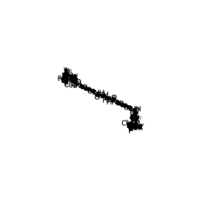 Cc1cc(S(=O)(=O)NCCOCCOCCNC(=O)NCCCCNC(=O)NCCOCCOCCNS(=O)(=O)Cc2cccc(O[C@H]3c4cc(Cl)cc(F)c4C[C@@H]3N(C)C)c2C)ccc1O[C@H]1c2cc(Cl)cc(F)c2C[C@@H]1N(C)C